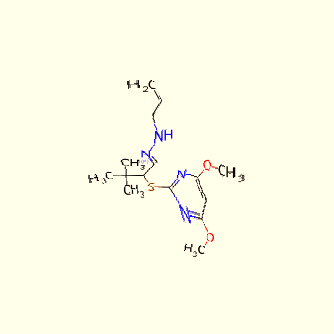 C=CCN/N=C/C(Sc1nc(OC)cc(OC)n1)C(C)(C)C